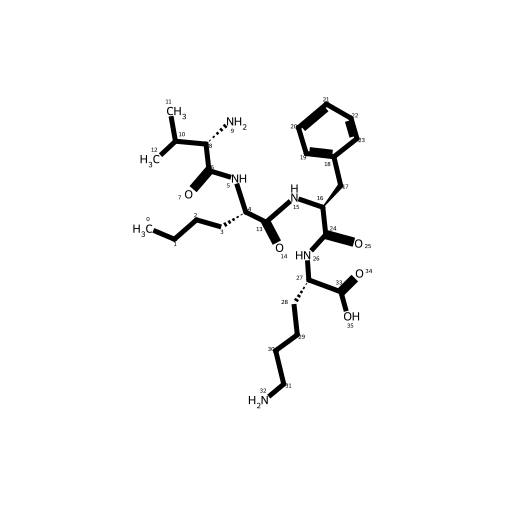 CCCC[C@H](NC(=O)[C@@H](N)C(C)C)C(=O)N[C@@H](Cc1ccccc1)C(=O)N[C@@H](CCCCN)C(=O)O